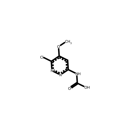 COc1cc(NC(=O)O)nnc1Cl